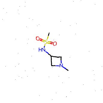 CN1CC(NS(C)(=O)=O)C1